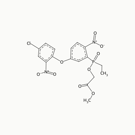 CCP(=O)(OCC(=O)OC)c1cc(Oc2ccc(Cl)cc2[N+](=O)[O-])ccc1[N+](=O)[O-]